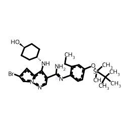 CCc1cc(O[Si](C)(C)C(C)(C)C)ccc1/N=C(\N)c1cnn2cc(Br)cc2c1N[C@H]1CC[C@H](O)CC1